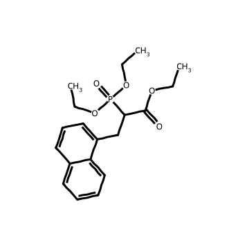 CCOC(=O)C(Cc1cccc2ccccc12)P(=O)(OCC)OCC